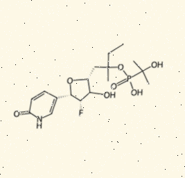 CCC(C)(C[C@H]1O[C@@H](c2ccc(=O)[nH]c2)[C@@H](F)C1O)OP(=O)(O)C(C)(C)O